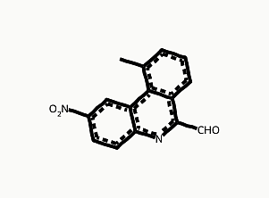 Cc1cccc2c(C=O)nc3ccc([N+](=O)[O-])cc3c12